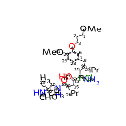 COCCCOc1cc(C[C@@H](C[C@H](N)[C@@H](O)C[C@H](C(=O)NCC(C)(C)NC=O)C(C)C)C(C)C)ccc1OC.Cl